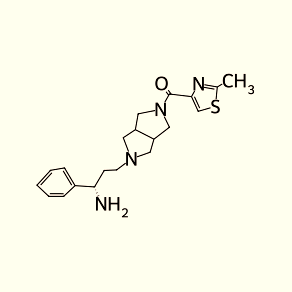 Cc1nc(C(=O)N2CC3CN(CC[C@H](N)c4ccccc4)CC3C2)cs1